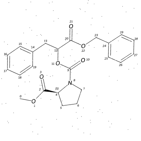 COC(=O)[C@@H]1CCCN1C(=O)OC(Cc1ccccc1)C(=O)OCc1ccccc1